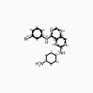 N[C@H]1CC[C@H](Nc2ncc3ncnc(Nc4cccc(Br)c4)c3n2)CC1